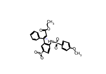 CCOC(=O)/C=C(\c1ccccc1)c1cc([N+](=O)[O-])ccc1NS(=O)(=O)c1ccc(OC)cc1